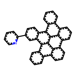 c1ccc(-c2ccc3c(c2)c2c4ccccc4c4cccc5c6cccc7c8ccccc8c3c(c76)c2c45)nc1